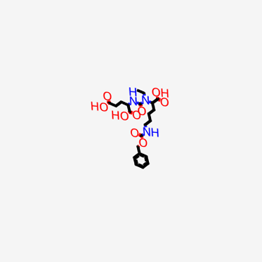 CCN(C(=O)NC(CCC(=O)O)C(=O)O)C(CCCCNC(=O)OCc1ccccc1)C(=O)O